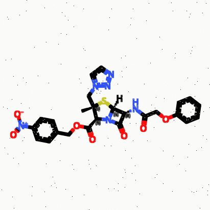 C[C@@]1(Cn2ccnn2)S[C@H]2[C@H](NC(=O)COc3ccccc3)C(=O)N2[C@H]1C(=O)OCc1ccc([N+](=O)[O-])cc1